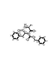 C[C@H](N)C(=O)N(C(=O)OCc1ccccc1)[C@H](C=O)Cc1ccccc1